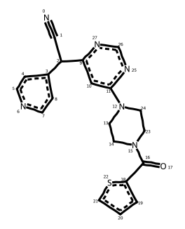 N#CC(c1ccncc1)c1cc(N2CCN(C(=O)c3cccs3)CC2)ncn1